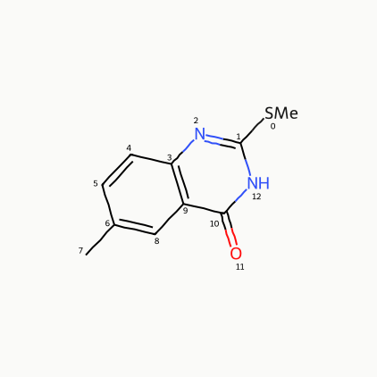 CSc1nc2ccc(C)cc2c(=O)[nH]1